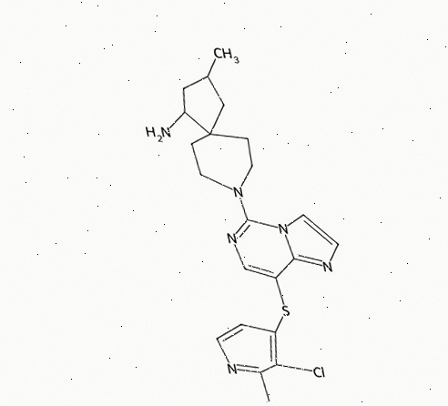 CC1CC(N)C2(CCN(c3ncc(Sc4ccnc(N)c4Cl)c4nccn34)CC2)C1